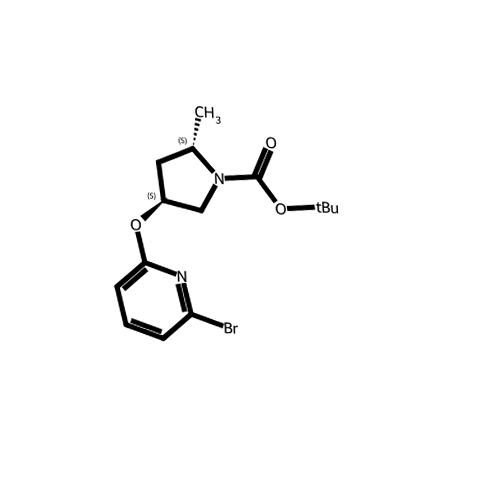 C[C@H]1C[C@H](Oc2cccc(Br)n2)CN1C(=O)OC(C)(C)C